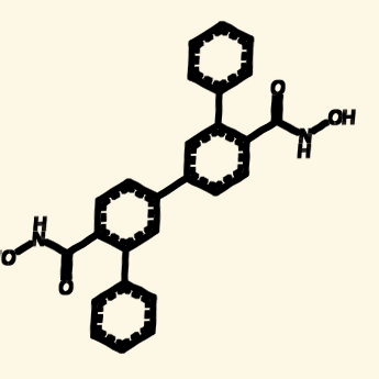 O=C(NO)c1ccc(-c2ccc(C(=O)NO)c(-c3ccccc3)c2)cc1-c1ccccc1